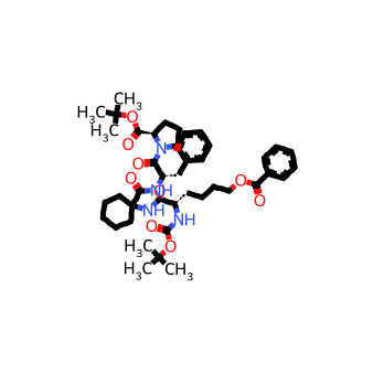 CC(C)(C)OC(=O)N[C@@H](CCCCOC(=O)c1ccccc1)C(=O)NC1(C(=O)N[C@@H](Cc2ccccc2)C(=O)N2CCC[C@@H]2C(=O)OC(C)(C)C)CCCCC1